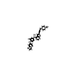 Cc1cc(Nc2ncnc3sc(C#CCN4CC[S+]([O-])CC4)cc23)ccc1Oc1ccn2ccnc2c1